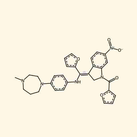 CN1CCCN(c2ccc(N/C(=C3\CN(C(=O)c4ccco4)c4cc([N+](=O)[O-])ccc43)c3ccco3)cc2)CC1